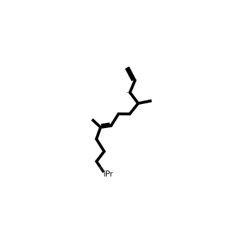 C=C[CH]C(C)CCC=C(C)CCCC(C)C